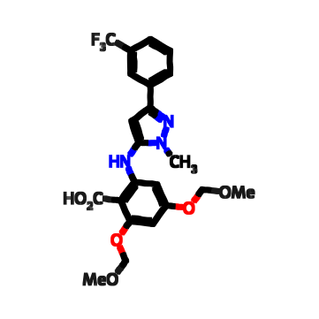 COCOc1cc(Nc2cc(-c3cccc(C(F)(F)F)c3)nn2C)c(C(=O)O)c(OCOC)c1